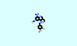 [C-]#[N+]c1cc(N(C)C)c2ncc(CC)c(NCc3ccc(OC)c(Cl)c3)c2c1